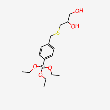 CCO[Si](OCC)(OCC)c1ccc(CSCC(O)CO)cc1